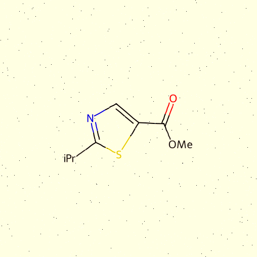 COC(=O)c1cnc(C(C)C)s1